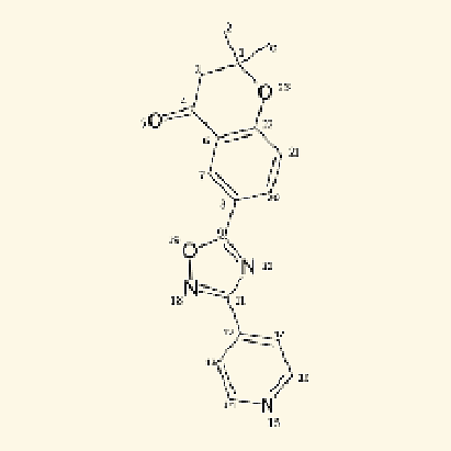 CC1(C)CC(=O)c2cc(-c3nc(-c4ccncc4)no3)ccc2O1